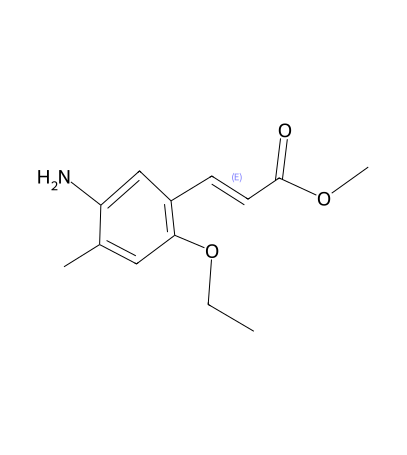 CCOc1cc(C)c(N)cc1/C=C/C(=O)OC